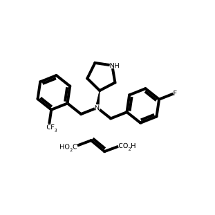 Fc1ccc(CN(Cc2ccccc2C(F)(F)F)[C@H]2CCNC2)cc1.O=C(O)/C=C/C(=O)O